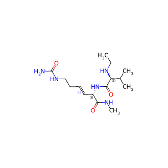 CCN[C@H](C(=O)N[C@@H](/C=C/CCNC(N)=O)C(=O)NC)C(C)C